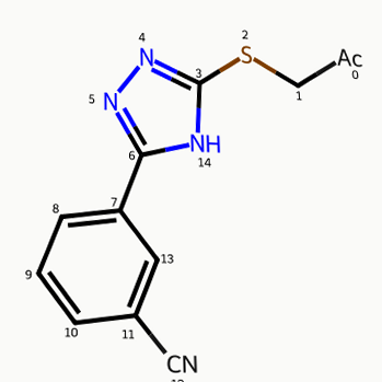 CC(=O)CSc1nnc(-c2cccc(C#N)c2)[nH]1